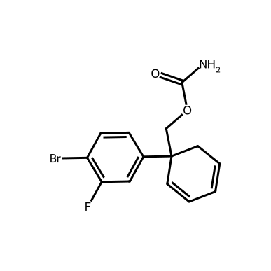 NC(=O)OCC1(c2ccc(Br)c(F)c2)C=CC=CC1